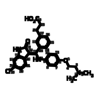 CN(C)CCOc1ccc(NC(=C2C(=O)Nc3cc(Cl)ccc32)c2cccc(CCC(=O)O)c2)cc1